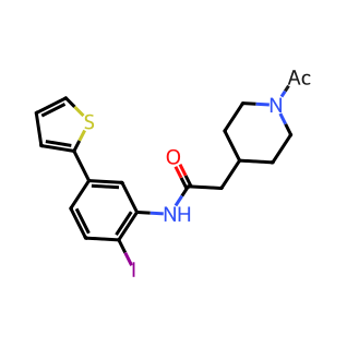 CC(=O)N1CCC(CC(=O)Nc2cc(-c3cccs3)ccc2I)CC1